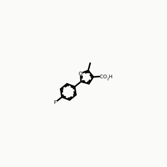 Cc1oc(-c2ccc(F)cc2)cc1C(=O)O